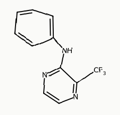 FC(F)(F)c1nccnc1Nc1ccccc1